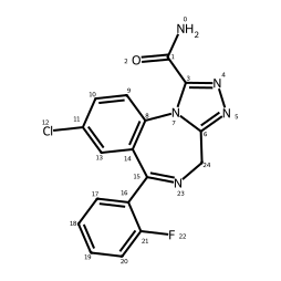 NC(=O)c1nnc2n1-c1ccc(Cl)cc1C(c1ccccc1F)=NC2